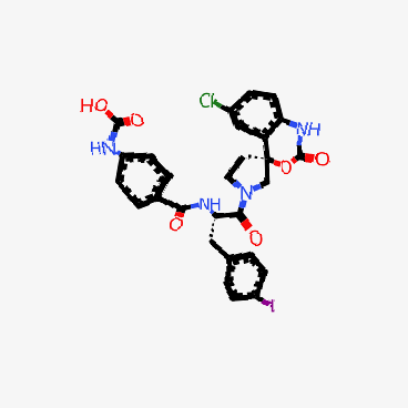 O=C(O)Nc1ccc(C(=O)N[C@@H](Cc2ccc(I)cc2)C(=O)N2CC[C@@]3(C2)OC(=O)Nc2ccc(Cl)cc23)cc1